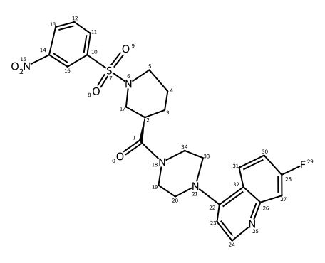 O=C([C@@H]1CCCN(S(=O)(=O)c2cccc([N+](=O)[O-])c2)C1)N1CCN(c2ccnc3cc(F)ccc23)CC1